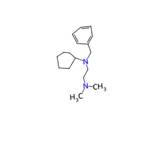 CN(C)CCN(Cc1ccccc1)C1CCCCC1